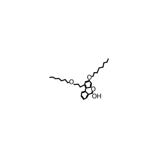 CCCCCCCCOc1ccc(-c2ccccc2C(=O)O)c(CCCOCCCCCCC)c1